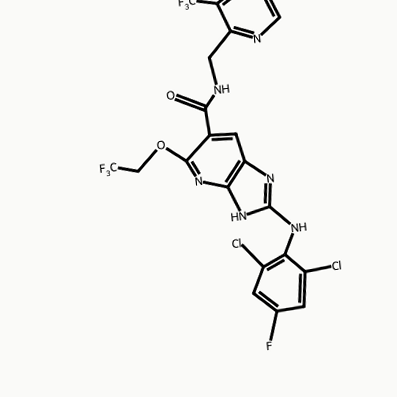 O=C(NCc1ncccc1C(F)(F)F)c1cc2nc(Nc3c(Cl)cc(F)cc3Cl)[nH]c2nc1OCC(F)(F)F